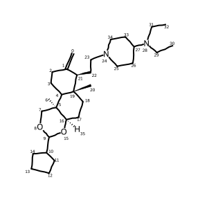 C=C1CCC2[C@]3(C)COC(C4CCCC4)O[C@@H]3CC[C@@]2(C)[C@@H]1CCN1CCC(N(CC)CC)CC1